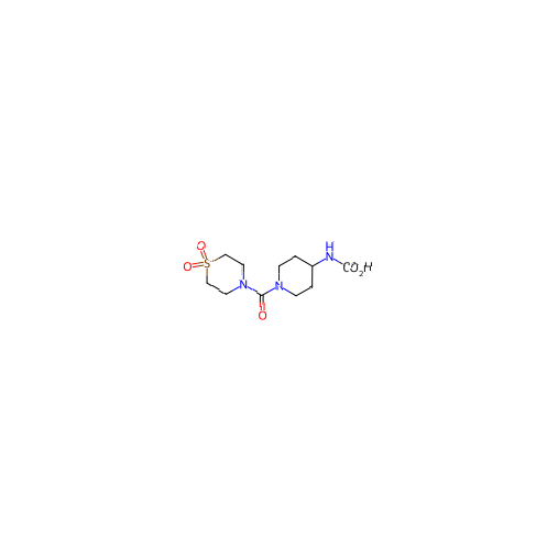 O=C(O)NC1CCN(C(=O)N2CCS(=O)(=O)CC2)CC1